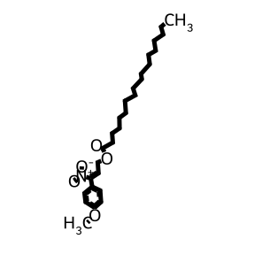 CCCCCCCCCCCCCCCCCC(=O)OCC=C(c1ccc(OC)cc1)[N+](=O)[O-]